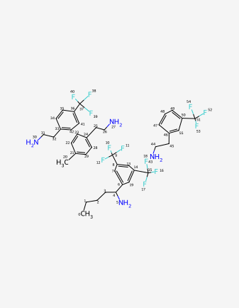 CCCCC(N)c1cc(C(F)(F)F)cc(C(F)(F)F)c1.Cc1ccc(CCN)cc1.NCCc1ccc(C(F)(F)F)cc1.NCCc1cccc(C(F)(F)F)c1